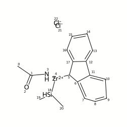 CC(=O)[NH][Zr+2]([CH]1c2ccccc2-c2ccccc21)[SiH](C)C.[Cl-].[Cl-]